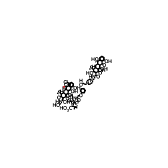 CC1(C)S[C@@H]2[C@H](NC(=O)COc3ccccc3)C(=O)N2[C@H]1C(=O)O.CN(C)[C@@H]1C(=O)/C(=C(/O)NCO)C(=O)[C@@]2(O)C(=O)C3=C(O)c4c(O)ccc(Cl)c4[C@@](C)(O)[C@H]3C[C@@H]12.CN(C)[C@@H]1C(O)=C(C(=O)NCN2CCN(CCO)CC2)C(=O)[C@@]2(O)C(O)=C3C(=O)c4c(O)cccc4[C@@](C)(O)C3C[C@@H]12